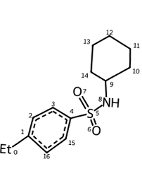 CCc1ccc(S(=O)(=O)NC2CCCCC2)cc1